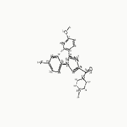 COc1ccc(-c2nc(C(=O)N3CCN(C)CC3)cn2-c2ccc(F)cc2)cn1